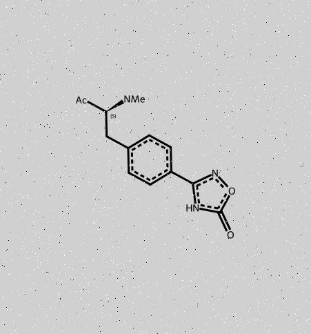 CN[C@@H](Cc1ccc(-c2noc(=O)[nH]2)cc1)C(C)=O